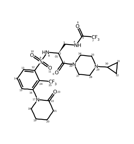 O=C([C@H](CNC(=O)C(F)(F)F)NS(=O)(=O)c1cccc(N2CCCCC2=O)c1C(F)(F)F)N1CCN(C2CC2)CC1